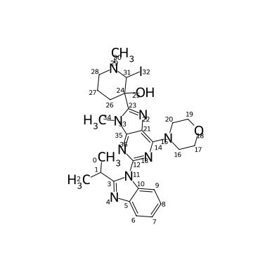 CC(C)c1nc2ccccc2n1-c1nc(N2CCOCC2)c2nc(C3(O)CCCN(C)C3I)n(C)c2n1